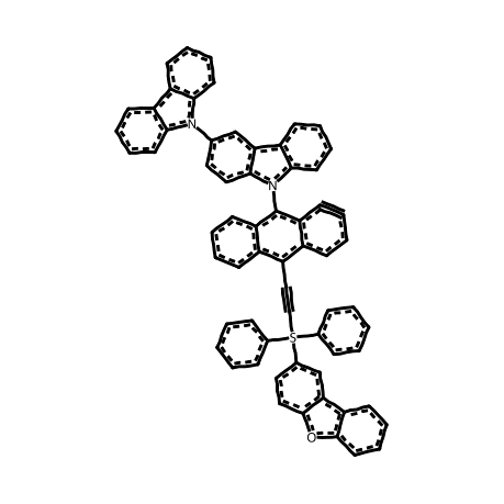 C(#CS(c1ccccc1)(c1ccccc1)c1ccc2oc3ccccc3c2c1)c1c2ccc#cc2c(-n2c3ccccc3c3cc(-n4c5ccccc5c5ccccc54)ccc32)c2ccccc12